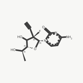 C#C[C@@]1(F)C(O)[C@@H]([C@@H](C)O)O[C@H]1n1ccc(N)nc1=O